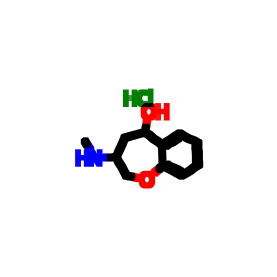 CNC1COc2ccccc2C(O)C1.Cl